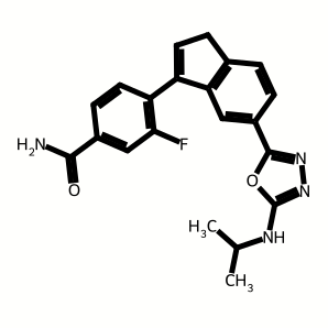 CC(C)Nc1nnc(-c2ccc3c(c2)C(c2ccc(C(N)=O)cc2F)=CC3)o1